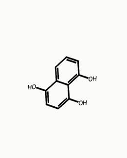 Oc1ccc(O)c2c(O)cccc12